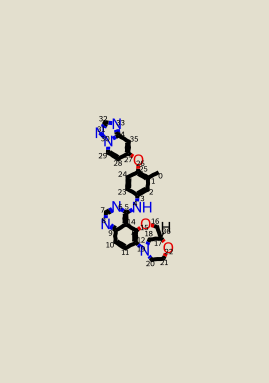 Cc1cc(Nc2ncnc3ccc4c(c23)OC[C@@H]2CN4CCO2)ccc1Oc1ccn2ncnc2c1